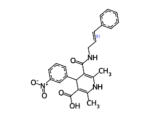 CC1=C(C(=O)O)C(c2cccc([N+](=O)[O-])c2)C(C(=O)NC/C=C/c2ccccc2)=C(C)N1